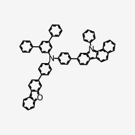 c1ccc(-c2cc(-c3ccccc3)cc(N(c3ccc(-c4ccc5c(c4)oc4ccccc45)cc3)c3ccc(-c4ccc5c6ccc7ccccc7c6n(-c6ccccc6)c5c4)cc3)c2)cc1